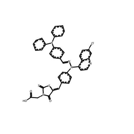 O=C(O)CN1C(=O)/C(=C/c2ccc(N(/N=C/c3ccc(N(c4ccccc4)c4ccccc4)cc3)c3ccnc4cc(Cl)ccc34)cc2)SC1=S